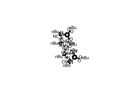 [C-]#[N+]c1c(CCCC)nn(-c2cc(C(=O)OCCCC)cc(C(=O)OCCCC)c2)c1N=Nc1c(CCCC)nn(-c2nc(OCCCC)nc(-n3nc(CCCC)c(N=Nc4c(C#N)c(CCCC)nn4-c4cc(C(=O)OCCCC)cc(C(=O)OCCCC)c4)c3N)n2)c1N